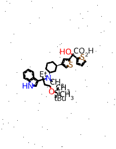 CCC(CCO[Si](C)(C)C(C)(C)C)(c1c[nH]c2ccccc12)N(C)[C@@H]1CCC[C@@H](c2csc(C(O)(C(=O)O)c3cccs3)c2)C1